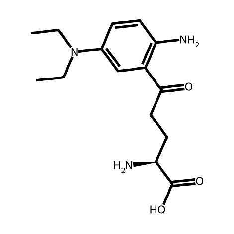 CCN(CC)c1ccc(N)c(C(=O)CC[C@H](N)C(=O)O)c1